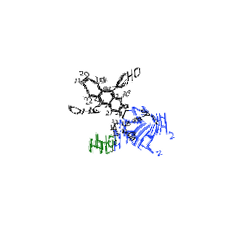 Cl.Cl.NNC1=NCCN1.NNC1=NCCN1.O=Cc1c2ccccc2c(C=O)c2ccccc12